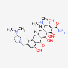 CN(C)[C@@H]1CCN(Cc2cc(O)c3c(c2F)C[C@H]2C[C@H]4[C@H](N(C)C)C(O)=C(C(N)=O)C(=O)[C@@]4(O)C(O)=C2C3=O)C1